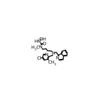 Cc1cc(Cl)cnc1CN(CCCCN(C)C(=O)NO)Cc1nccc2ccccc12